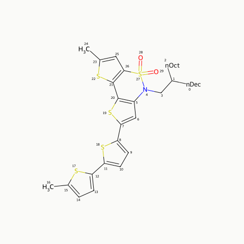 CCCCCCCCCCC(CCCCCCCC)CN1c2cc(-c3ccc(-c4ccc(C)s4)s3)sc2-c2sc(C)cc2S1(=O)=O